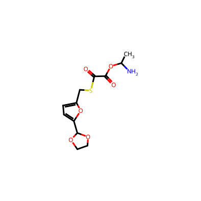 CC(N)OC(=O)C(=O)SCc1ccc(C2OCCO2)o1